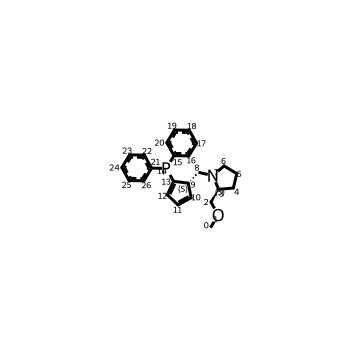 COC[C@@H]1CCCN1C[C@@H]1C=CC=C1P(c1ccccc1)c1ccccc1